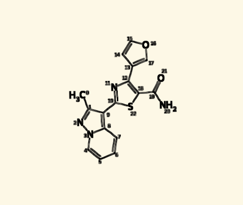 Cc1nn2ccccc2c1-c1nc(-c2ccoc2)c(C(N)=O)s1